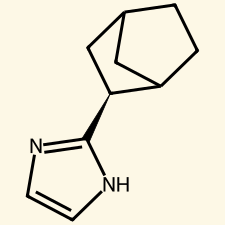 c1c[nH]c([C@H]2CC3CCC2C3)n1